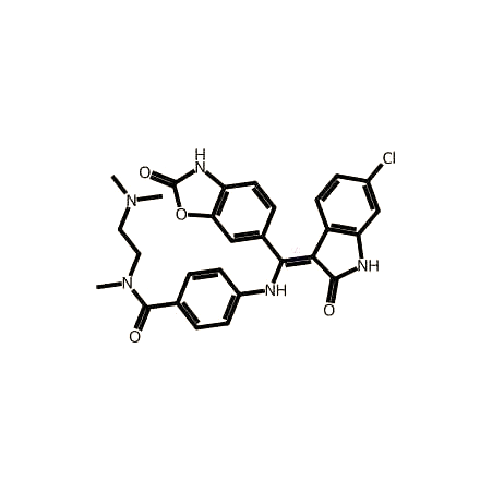 CN(C)CCN(C)C(=O)c1ccc(N/C(=C2\C(=O)Nc3cc(Cl)ccc32)c2ccc3[nH]c(=O)oc3c2)cc1